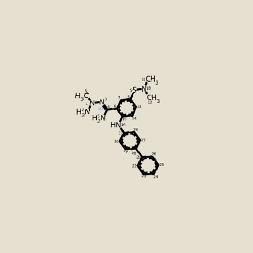 CN(N)/N=C(\N)c1cc(SN(C)C)ccc1Nc1ccc(-c2ccccc2)cc1